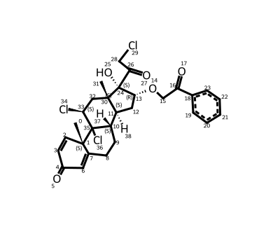 C[C@]12C=CC(=O)C=C1CC[C@H]1[C@@H]3C[C@@H](OCC(=O)c4ccccc4)[C@](O)(C(=O)CCl)[C@@]3(C)C[C@H](Cl)C12Cl